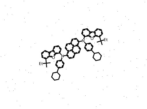 CCC(C)(C)c1cccc2c1oc1c(N(c3ccc(C4CCCCC4)cc3)c3ccc4ccc5c(N(c6ccc(C7CCCCC7)cc6)c6cccc7c6oc6c(C(C)(C)CC)cccc67)ccc6ccc3c4c65)cccc12